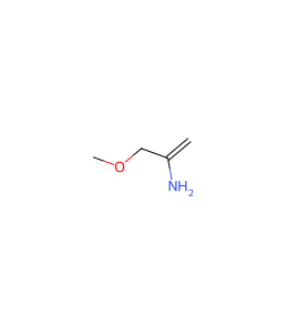 C=C(N)COC